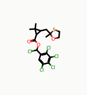 CC1(CC2C(C(=O)OC(Cl)c3cc(Cl)c(Cl)c(Cl)c3Cl)C2(C)C)OCCS1